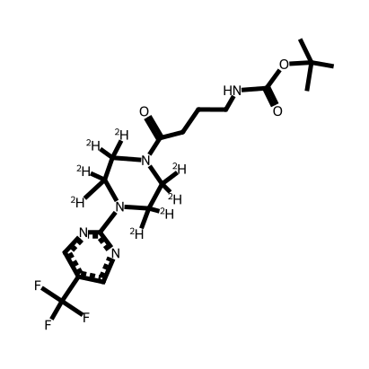 [2H]C1([2H])N(C(=O)CCCNC(=O)OC(C)(C)C)C([2H])([2H])C([2H])([2H])N(c2ncc(C(F)(F)F)cn2)C1([2H])[2H]